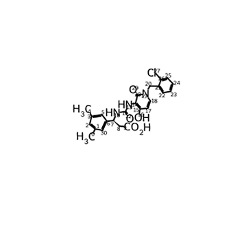 Cc1cc(C)cc([C@H](CC(=O)O)NC(=O)Nc2c(O)ccn(Cc3ccccc3Cl)c2=O)c1